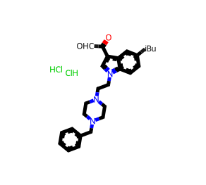 CCC(C)c1ccc2c(c1)c(C(=O)C=O)cn2CCN1CCN(Cc2ccccc2)CC1.Cl.Cl